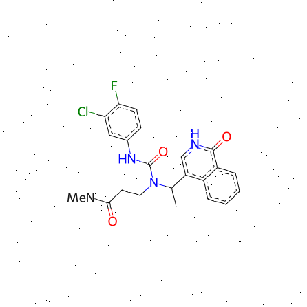 CNC(=O)CCN(C(=O)Nc1ccc(F)c(Cl)c1)C(C)c1c[nH]c(=O)c2ccccc12